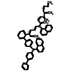 C=C/C=C\C(=C)C(=C)/C=C\C(=C)N(/C=C/C=C(\C=C)c1ccccc1-c1ccc(N(c2ccc(-c3ccccc3)cc2)c2cccc3ccccc23)cc1)c1cccc2ccccc12